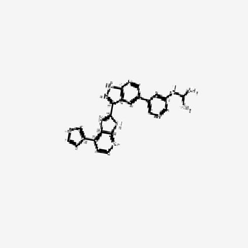 CC(C)Nc1cncc(-c2cnc3[nH]nc(-c4nc5c(-c6ccsc6)ccnc5[nH]4)c3c2)c1